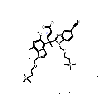 COc1cc(C)c2c(ccn2COCC[Si](C)(C)C)c1C(C)(/C=C/C(=O)O)c1nc2cc(C#N)ccc2n1COCC[Si](C)(C)C